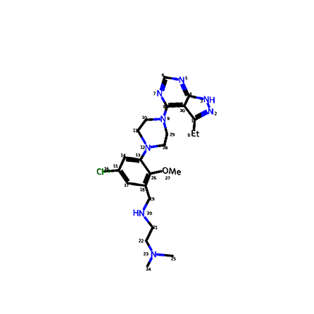 CCc1n[nH]c2ncnc(N3CCN(c4cc(Cl)cc(CNCCN(C)C)c4OC)CC3)c12